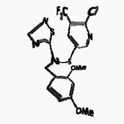 COc1ccc(CN(Sc2cnc(Cl)c(C(F)(F)F)c2)c2ncns2)c(OC)c1